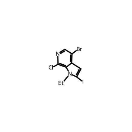 CCn1c(I)cc2c(Br)cnc(Cl)c21